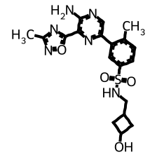 Cc1noc(-c2nc(-c3cc(S(=O)(=O)NCC4CC(O)C4)ccc3C)cnc2N)n1